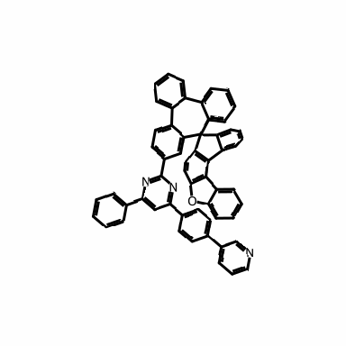 c1ccc(-c2cc(-c3ccc(-c4cccnc4)cc3)nc(-c3ccc4c(c3)C3(c5ccccc5-c5ccccc5-4)c4ccccc4-c4c3ccc3oc5ccccc5c43)n2)cc1